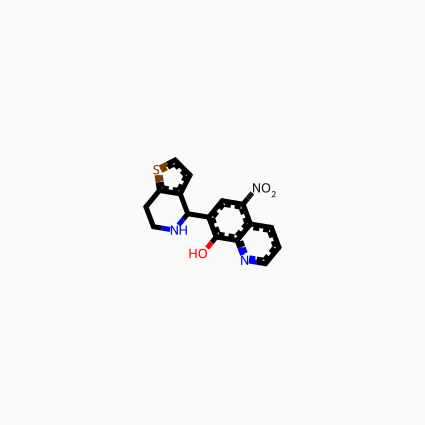 O=[N+]([O-])c1cc(C2NCCc3sccc32)c(O)c2ncccc12